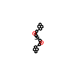 C[Si](C)(c1ccc2oc3ccc(-c4ccc5ccc6cccc7ccc4c5c67)cc3c2c1)c1ccc2oc3ccc(-c4ccc5ccc6cccc7ccc4c5c67)cc3c2c1